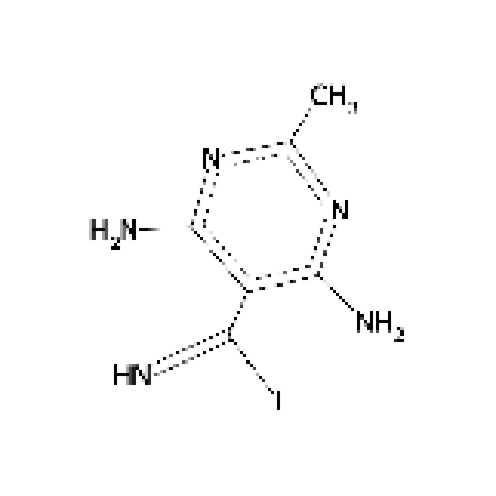 Cc1nc(N)c(C(=N)I)c(N)n1